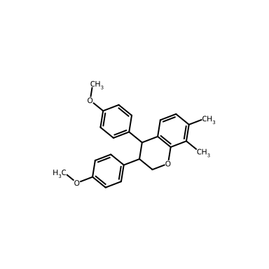 COc1ccc(C2COc3c(ccc(C)c3C)C2c2ccc(OC)cc2)cc1